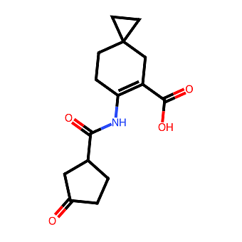 O=C1CCC(C(=O)NC2=C(C(=O)O)CC3(CC2)CC3)C1